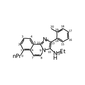 CCCc1cccc2c1ccn1c(NCC)c(-c3ccccc3C)nc21